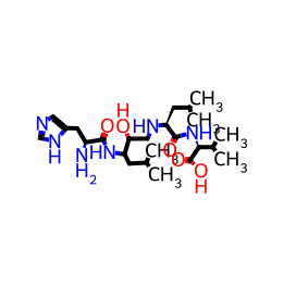 CC(C)CC(NC(=O)[C@@H](N)Cc1cnc[nH]1)C(O)CN[C@@H](CC(C)C)C(=O)N[C@@H](C(=O)O)C(C)C